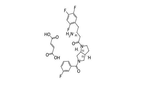 N[C@@H](CC(=O)N1CC[C@H]2CN(C(=O)c3cccc(F)c3)C[C@H]21)Cc1cc(F)c(F)cc1F.O=C(O)C=CC(=O)O